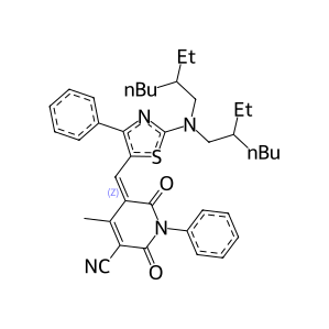 CCCCC(CC)CN(CC(CC)CCCC)c1nc(-c2ccccc2)c(/C=C2\C(=O)N(c3ccccc3)C(=O)C(C#N)=C2C)s1